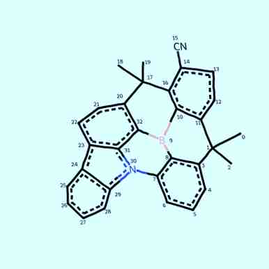 CC1(C)c2cccc3c2B2c4c1ccc(C#N)c4C(C)(C)c1ccc4c5ccccc5n-3c4c12